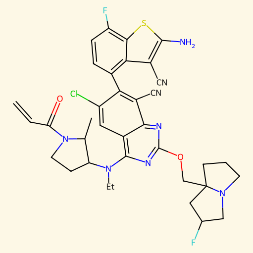 C=CC(=O)N1CCC(N(CC)c2nc(OCC34CCCN3CC(F)C4)nc3c(C#N)c(-c4ccc(F)c5sc(N)c(C#N)c45)c(Cl)cc23)C1C